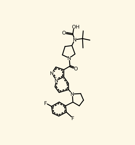 CC(C)(C)N(C(=O)O)C1CCN(C(=O)c2cnn3ccc(N4CCCC4c4cc(F)ccc4F)cc23)C1